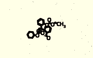 CCOC(=O)Oc1ccccc1C(=O)C1(OC(=O)OC2CCCCC2)C=CC=CC1[C]=O